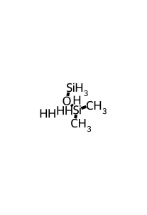 C[SiH](C)O[SiH3].[HH].[HH]